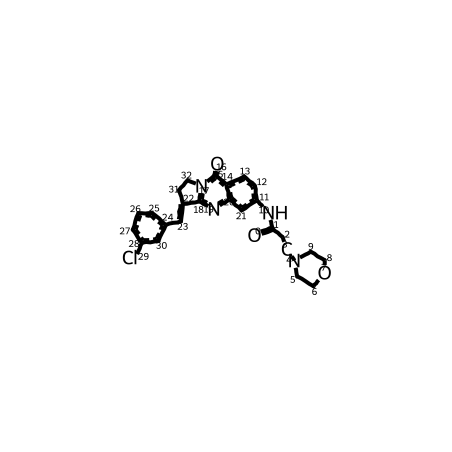 O=C(CCN1CCOCC1)Nc1ccc2c(=O)n3c(nc2c1)C(=Cc1cccc(Cl)c1)CC3